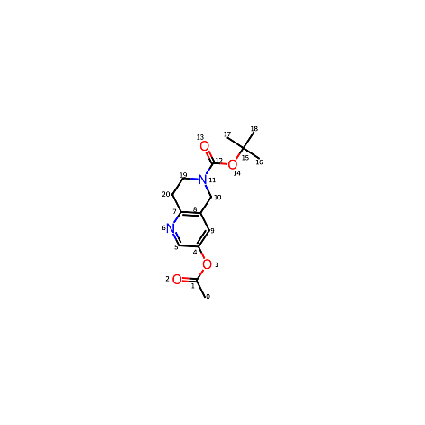 CC(=O)Oc1cnc2c(c1)CN(C(=O)OC(C)(C)C)CC2